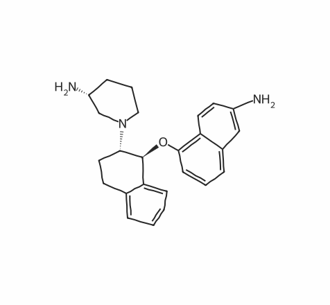 Nc1ccc2c(O[C@H]3c4ccccc4CC[C@@H]3N3CCC[C@@H](N)C3)cccc2c1